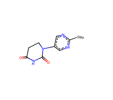 CSc1ncc(N2CCC(=O)NC2=O)cn1